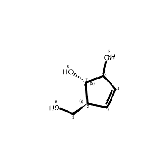 OC[C@@H]1C=CC(O)[C@H]1O